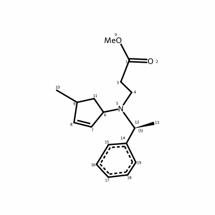 COC(=O)CCN(C1C=CC(C)C1)[C@@H](C)c1ccccc1